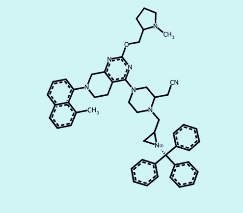 Cc1cccc2cccc(N3CCc4c(nc(OCC5CCCN5C)nc4N4CCN(CC5C[N@@]5C(c5ccccc5)(c5ccccc5)c5ccccc5)C(CC#N)C4)C3)c12